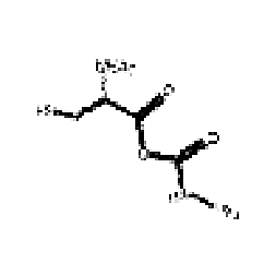 CCCCNC(=O)OC(=O)[C@H](CS)NC(C)=O